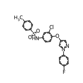 Cc1ccc(S(=O)(=O)Nc2ccc(Oc3cnn(-c4ccc(F)cc4)c3)c(Cl)c2)cc1